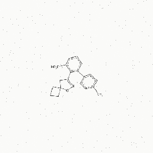 Cc1ccc(-c2cccc(C(=O)O)c2C2=NOC3(CCC3)C2)cc1